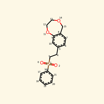 O=S(=O)(CCc1ccc2c(c1)OCCOC2)c1ccccc1